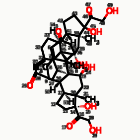 C[C@]12CCC(=O)C=C1CC[C@H]1[C@@H]3CC[C@](O)(C(=O)CO)[C@@]3(C)C[C@H](O)[C@@]12C1CC(=O)C=C2CC[C@@H]3[C@H]([C@@H](O)C[C@@]4(C)[C@H]3CC[C@]4(O)C(=O)CO)[C@]21C